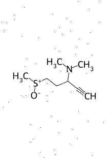 C#CC(CC[S+](C)[O-])N(C)C